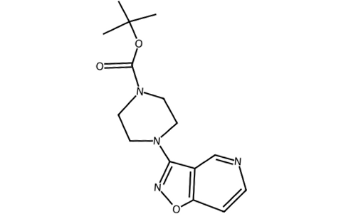 CC(C)(C)OC(=O)N1CCN(c2noc3ccncc23)CC1